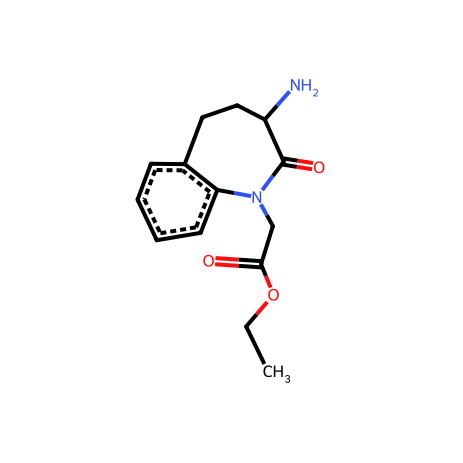 CCOC(=O)CN1C(=O)C(N)CCc2ccccc21